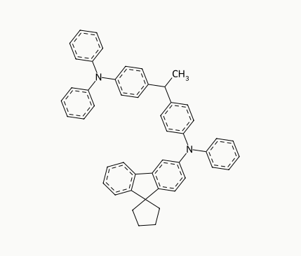 CC(c1ccc(N(c2ccccc2)c2ccccc2)cc1)c1ccc(N(c2ccccc2)c2ccc3c(c2)-c2ccccc2C32CCCC2)cc1